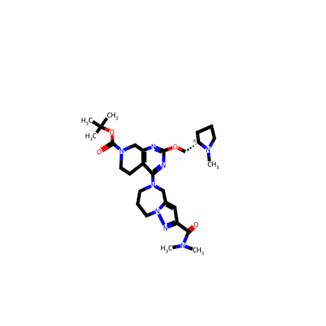 CN(C)C(=O)c1cc2n(n1)CCCN(c1nc(OC[C@@H]3CCCN3C)nc3c1CCN(C(=O)OC(C)(C)C)C3)C2